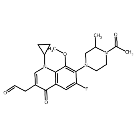 COc1c(N2CCN(C(C)=O)C(C)C2)c(F)cc2c(=O)c(CC=O)cn(C3CC3)c12